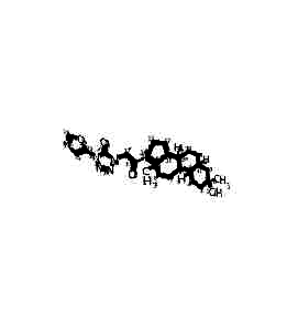 C[C@@]1(O)CC[C@@H]2C3CC[C@@]4(C)C(CC[C@@H]4C(=O)Cn4nnn(-c5cnco5)c4=O)[C@@H]3CC[C@@H]2C1